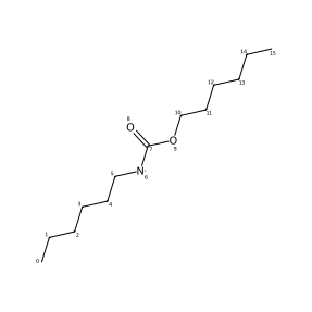 CCCCCC[N]C(=O)OCCCCCC